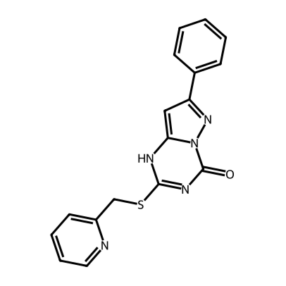 O=c1nc(SCc2ccccn2)[nH]c2cc(-c3ccccc3)nn12